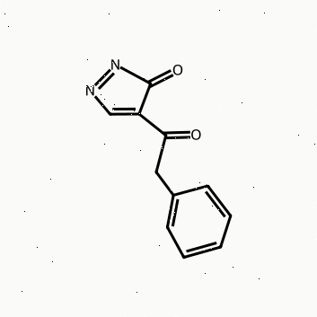 O=C(Cc1ccccc1)C1=CN=NC1=O